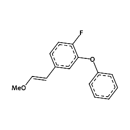 COC=Cc1ccc(F)c(Oc2ccccc2)c1